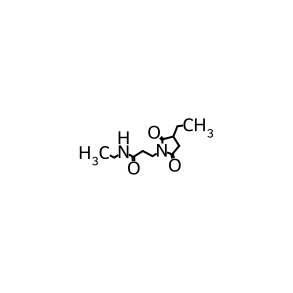 CCNC(=O)CCN1C(=O)CC(CC)C1=O